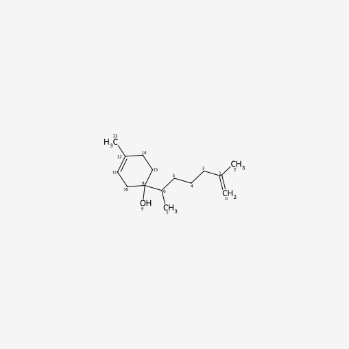 C=C(C)CCCC(C)C1(O)CC=C(C)CC1